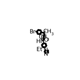 CCc1cc(NC(=O)OC[C@H](C)c2ccc(Br)cc2C)ccc1-n1ccnc1